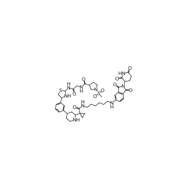 CS(=O)(=O)N1CCC(C(=O)NCC(=O)NC2NC(c3cccc(C4CCNC(C5(C(=O)NCCCCCCNc6ccc7c(c6)C(=O)N(C6CCC(=O)NC6=O)C7=O)CC5)C4)c3)CS2)C1